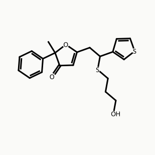 CC1(c2ccccc2)OC(CC(SCCCO)c2ccsc2)=CC1=O